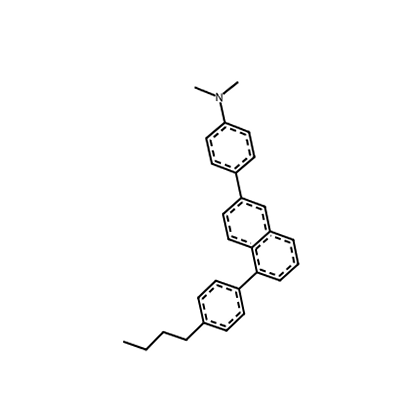 CCCCc1ccc(-c2cccc3cc(-c4ccc(N(C)C)cc4)ccc23)cc1